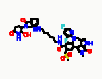 Cn1cc2c3c(c[nH]c3c1=O)CN(c1ncc(F)cc1F)c1cc(C(=O)NCCCCCCNc3cccc4c3CN(C3CCC(=O)NC3O)C4=O)c(CS(C)(=O)=O)cc1-2